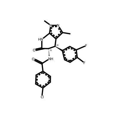 Cc1nn(C)c2c1[C@@H](c1ccc(F)c(F)c1)[C@H](NC(=O)c1ccc(Cl)cc1)C(=O)N2